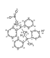 C[P+](C)(c1ccccc1)c1ccccc1.C[P+](C)(c1ccccc1)c1ccccc1.[H+].[O-]B([O-])[O-]